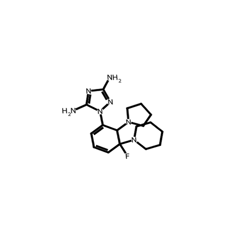 Nc1nc(N)n(C2=CC=CC(F)(N3CCCCC3)C2N2CCCC2)n1